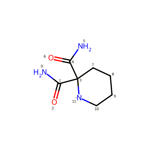 NC(=O)C1(C(N)=O)CCCC[N]1